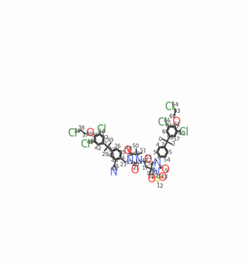 CC(C)(c1ccc(N2C(=O)N(S(C)(=O)=O)C(C)(CCN3C(=O)N(Cc4ccc(C(C)(C)c5cc(Cl)c(OCCCl)c(Cl)c5)cc4C#N)C(=O)C3(C)C)C2=O)cc1)c1cc(Cl)c(OCCCl)c(Cl)c1